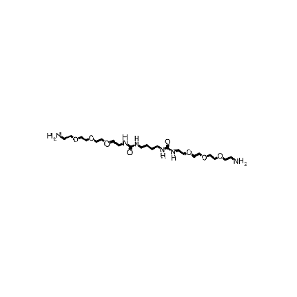 NCCOCCOCCOCCNC(=O)NCCCCNC(=O)NCCOCCOCCOCCN